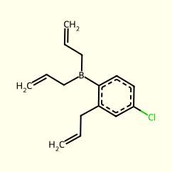 C=CCB(CC=C)c1ccc(Cl)cc1CC=C